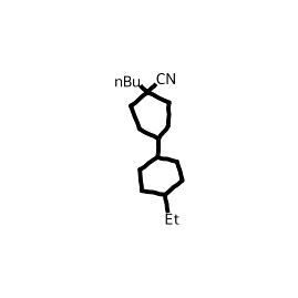 CCCCC1(C#N)CCC(C2CCC(CC)CC2)CC1